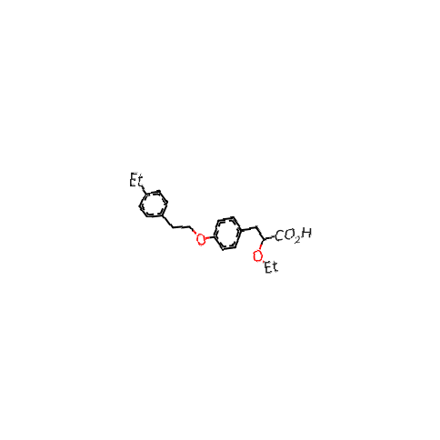 CCOC(Cc1ccc(OCCc2ccc(CC)cc2)cc1)C(=O)O